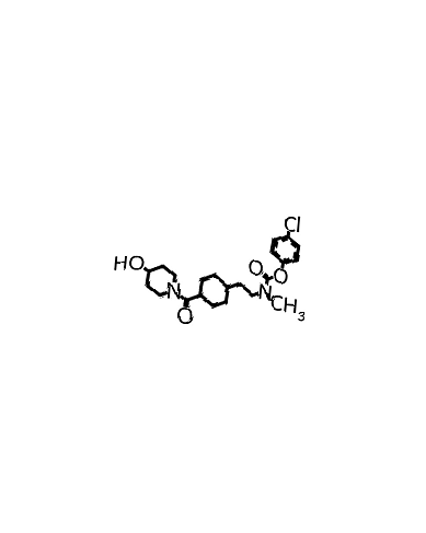 CN(CCC1CCC(C(=O)N2CCC(O)CC2)CC1)C(=O)Oc1ccc(Cl)cc1